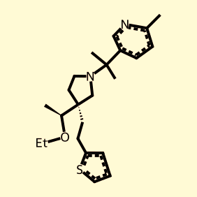 CCO[C@@H](C)[C@@]1(CCc2cccs2)CCN(C(C)(C)c2ccc(C)nc2)C1